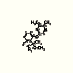 COC(C)(C)c1c(F)cccc1Oc1cnc(C)c(C)n1